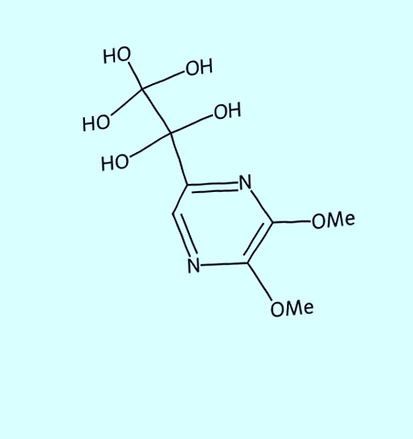 COc1ncc(C(O)(O)C(O)(O)O)nc1OC